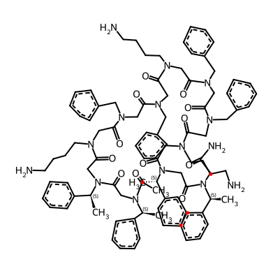 CC(=O)N(CC(=O)N(CC(=O)N(CCCCN)CC(=O)N(CC(=O)N(CC(=O)N(CCCCN)CC(=O)N(CC(=O)N(CC(=O)N(CCCCN)CC(=O)N(CC(=O)N(CC(N)=O)[C@@H](C)c1ccccc1)[C@@H](C)c1ccccc1)Cc1ccccc1)Cc1ccccc1)Cc1ccccc1)Cc1ccccc1)[C@@H](C)c1ccccc1)[C@@H](C)c1ccccc1